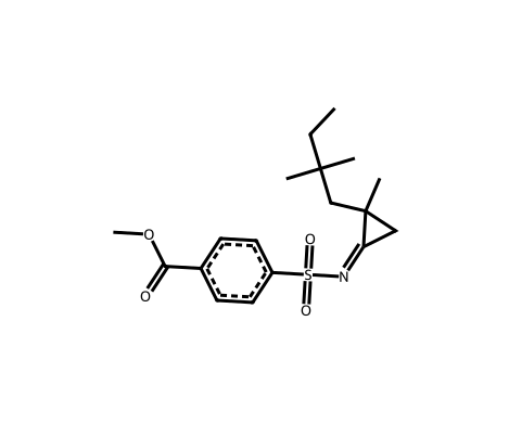 CCC(C)(C)CC1(C)C/C1=N/S(=O)(=O)c1ccc(C(=O)OC)cc1